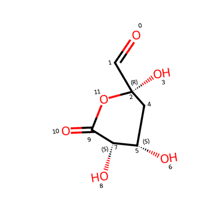 O=C[C@@]1(O)C[C@H](O)[C@H](O)C(=O)O1